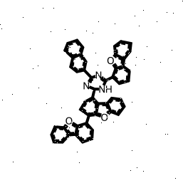 c1ccc2cc(C3=NC(c4ccc(-c5cccc6c5oc5ccccc56)c5oc6ccccc6c45)NC(c4cccc5c4oc4ccccc45)=N3)ccc2c1